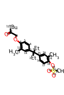 CCC(CC)(c1ccc(OCC(=O)C(C)(C)C)c(C)c1)c1ccc(OS(C)(=O)=O)c(C)c1